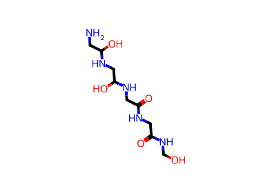 NCC(O)NCC(O)NCC(=O)NCC(=O)NCO